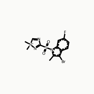 Cc1c(Br)c2ccc(F)cc2n1S(=O)(=O)C1=N[N+](C)(C)C=N1